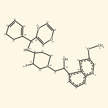 COc1cnc2cccc(C(O)CN3CCC(NC(C4=CC=CCC4)C4=COC=CO4)C(F)C3)c2c1